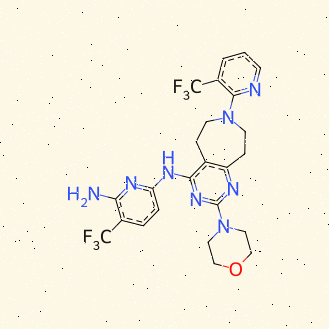 Nc1nc(Nc2nc(N3CCOCC3)nc3c2CCN(c2ncccc2C(F)(F)F)CC3)ccc1C(F)(F)F